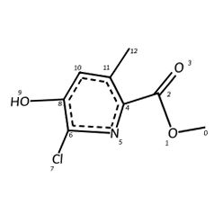 COC(=O)c1nc(Cl)c(O)cc1C